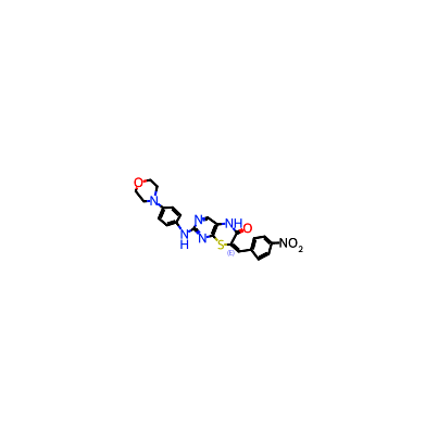 O=C1Nc2cnc(Nc3ccc(N4CCOCC4)cc3)nc2S/C1=C/c1ccc([N+](=O)[O-])cc1